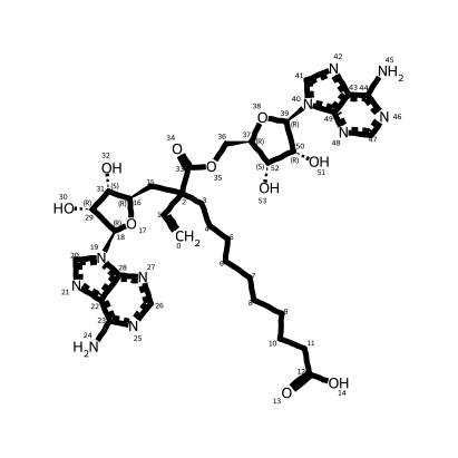 C=CC(CCCCCCCCCC(=O)O)(C[C@H]1O[C@@H](n2cnc3c(N)ncnc32)[C@H](O)[C@@H]1O)C(=O)OC[C@H]1O[C@@H](n2cnc3c(N)ncnc32)[C@H](O)[C@@H]1O